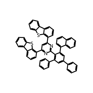 c1ccc(-c2cc(-c3ccccc3)c(-c3nc(-c4cccc5c4sc4ccccc45)cc(-c4cccc5c4sc4ccccc45)n3)c(-c3cccc4ccccc34)c2)cc1